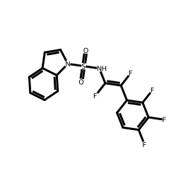 O=S(=O)(N/C(F)=C(\F)c1ccc(F)c(F)c1F)n1ccc2ccccc21